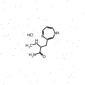 CNC(CC1=CNC=CC=N1)C(N)=O.Cl